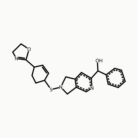 OC(c1ccccc1)c1cc2c(cn1)CN(SC1C=CC(C3=NCCO3)CC1)C2